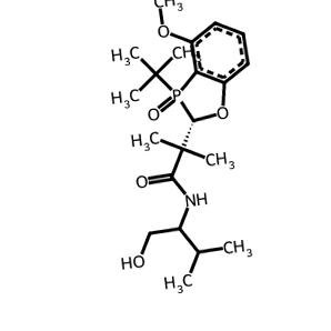 COc1cccc2c1P(=O)(C(C)(C)C)[C@@H](C(C)(C)C(=O)NC(CO)C(C)C)O2